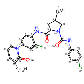 COC1CC(C(=O)Nc2ccc(-n3cccc(C(=O)O)c3=O)cc2F)N(C(=O)Nc2ccc(Cl)cc2)C1